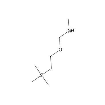 CNCOCC[Si](C)(C)C